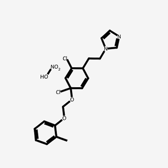 Cc1ccccc1OCOC1(Cl)C=CC(CCn2ccnc2)C(Cl)=C1.O=[N+]([O-])O